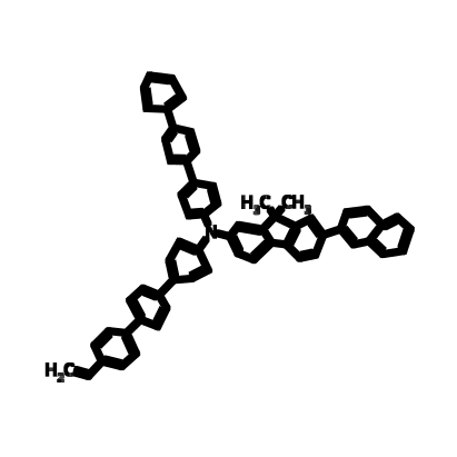 C=Cc1ccc(-c2ccc(-c3ccc(N(c4ccc(-c5ccc(-c6ccccc6)cc5)cc4)c4ccc5c(c4)C(C)(C)c4cc(-c6ccc7ccccc7c6)ccc4-5)cc3)cc2)cc1